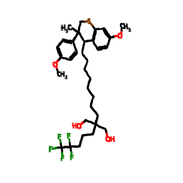 COc1ccc(C2(C)CSc3cc(OC)ccc3C2CCCCCCCCC(CO)(CO)CCCC(F)(F)C(F)(F)F)cc1